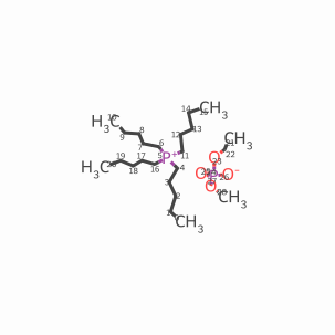 CCCCC[P+](CCCCC)(CCCCC)CCCCC.CCOP(=O)([O-])OC